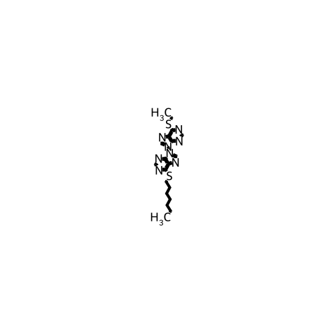 CCCCCCCSc1ncnc2c1ncn2-n1cnc2c(SCC)ncnc21